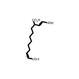 CCCCCCCC/C=C\CCCCCCC(C=CCCCCCCCCCC)C(=O)O